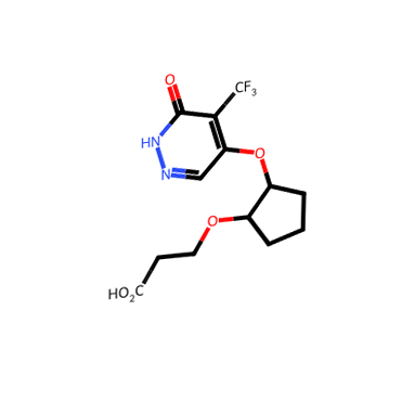 O=C(O)CCOC1CCCC1Oc1cn[nH]c(=O)c1C(F)(F)F